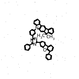 CC1(C)c2ccccc2-c2cc3c4ccccc4n(-c4cccc(-c5nc(-c6ccccc6)nc(-c6ccc7c(c6)oc6c(-c8ccccc8)cccc67)n5)c4)c3cc21